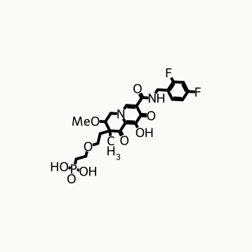 COC1Cn2cc(C(=O)NCc3ccc(F)cc3F)c(=O)c(O)c2C(=O)C1(C)CCOCCP(=O)(O)O